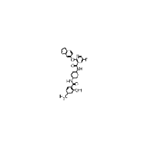 Cc1ccc(C(=O)NC2CCC(NC(=O)c3cc(F)cnc3Oc3ccc4c(c3)SCC4)CC2)c(O)c1